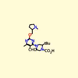 Cc1nc(OCC2CCCN2C)nc(N2CCN(C(=O)O)C(C(C)(C)C)C2)c1C=O